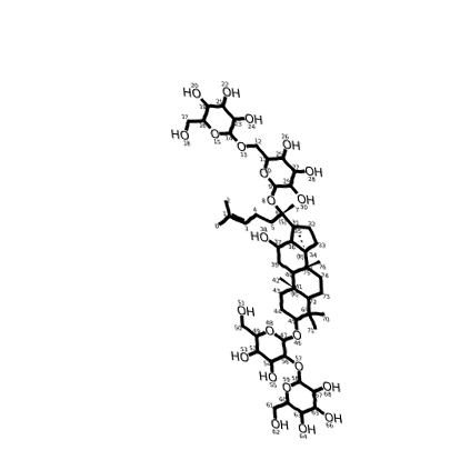 CC(C)=CCC[C@](C)(OC1OC(COC2OC(CO)C(O)C(O)C2O)C(O)C(O)C1O)C1CC[C@]2(C)C1C(O)CC1[C@@]3(C)CCC(OC4OC(CO)C(O)C(O)C4OC4OC(CO)C(O)C(O)C4O)C(C)(C)C3CC[C@]12C